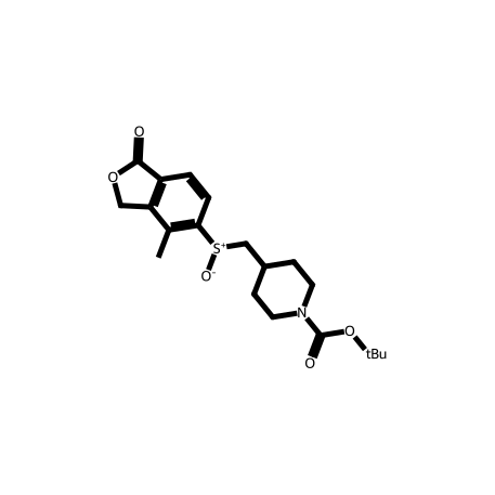 Cc1c([S+]([O-])CC2CCN(C(=O)OC(C)(C)C)CC2)ccc2c1COC2=O